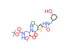 COC(=O)C(CNC(=O)OC(C)(C)C)NC(=O)c1sc(C(=O)NCc2cccc(O)c2)cc1Cl